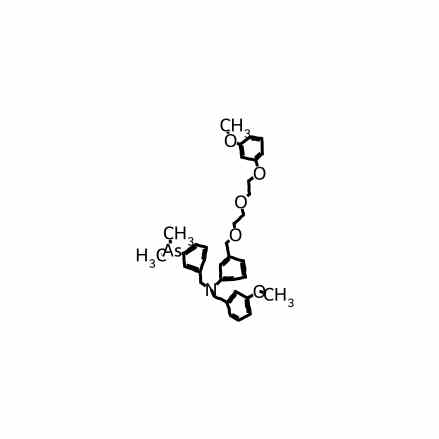 COc1cccc(CN(Cc2cccc([As](C)C)c2)c2cccc(COCCOCCOc3cccc(OC)c3)c2)c1